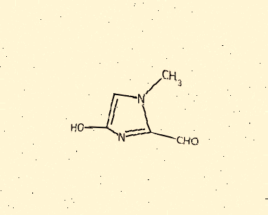 Cn1cc(O)nc1C=O